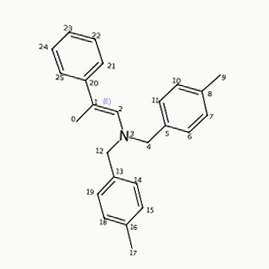 C/C(=C\N(Cc1ccc(C)cc1)Cc1ccc(C)cc1)c1ccccc1